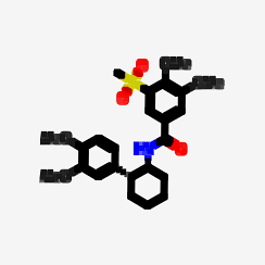 COc1ccc([C@H]2CCCC[C@H]2NC(=O)c2cc(OC)c(OC)c(S(C)(=O)=O)c2)cc1OC